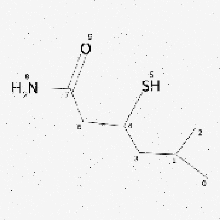 CC(C)CC(S)CC(N)=O